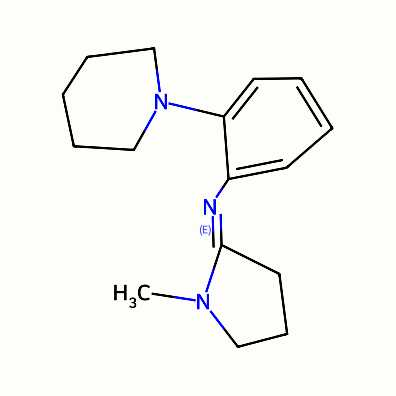 CN1CCC/C1=N\c1ccccc1N1CCCCC1